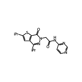 CC(C)c1cc2c(C(C)C)nn(CC(=O)Nc3ccncn3)c(=O)c2s1